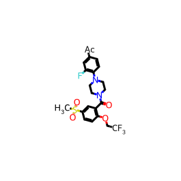 CC(=O)c1ccc(N2CCN(C(=O)c3cc(S(C)(=O)=O)ccc3OCC(F)(F)F)CC2)c(F)c1